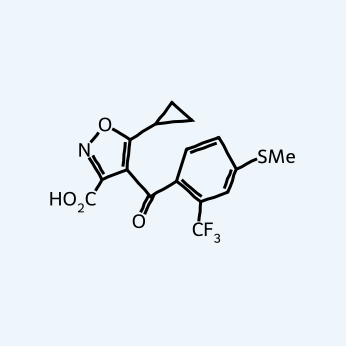 CSc1ccc(C(=O)c2c(C(=O)O)noc2C2CC2)c(C(F)(F)F)c1